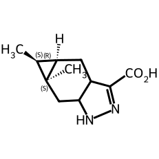 C[C@H]1[C@H]2CC3C(C(=O)O)=NNC3C[C@]21C